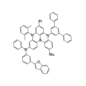 Cc1cccc(C)c1N1c2cc(N(c3ccccc3)c3cccc(-c4cc5ccccc5o4)c3)ccc2B2c3cc(C(C)(C)C)ccc3N(c3cc(-c4ccccc4)cc(-c4ccccc4)c3)c3cc(C(C)C)cc1c32